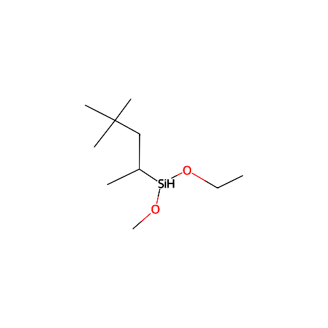 CCO[SiH](OC)C(C)CC(C)(C)C